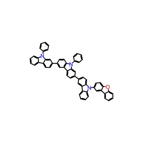 c1ccc(-n2c3ccccc3c3ccc(-c4ccc5c(c4)c4ccc(-c6ccc7c(c6)c6ccccc6n7-c6ccc7oc8ccccc8c7c6)cc4n5-c4ccccc4)cc32)cc1